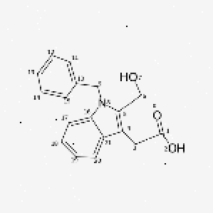 O=C(O)Cc1c(CO)n(Cc2ccccc2)c2ccccc12